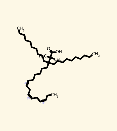 CC/C=C\C/C=C\C/C=C\CCCCCC(CCCCCCCCCC)(CCCCCCCCCC)C(C)(C)C(=O)O